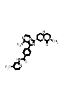 CN1CC[C@@H]2CC[C@@H](c3nc(-c4ccc(C(=O)Nc5cc(C(F)(F)F)ccn5)cc4)c4c(N)nccn34)CN2C1=O